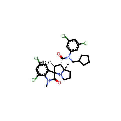 CN1C(=O)C2(c3cc(Cl)cc(Cl)c31)[C@H](C(=O)O)[C@H](C(=O)N(CC1CCCC1)c1cc(Cl)cc(Cl)c1)[C@@H]1CCCN12